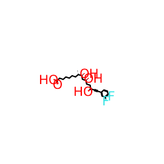 C[C@@H](CCCCCCC(=O)O)[C@@H](O)C[C@@H](O)CCC(O)C#Cc1ccc(F)c(F)c1